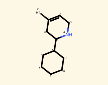 CCC1=CCNC(C2CCCCC2)C1